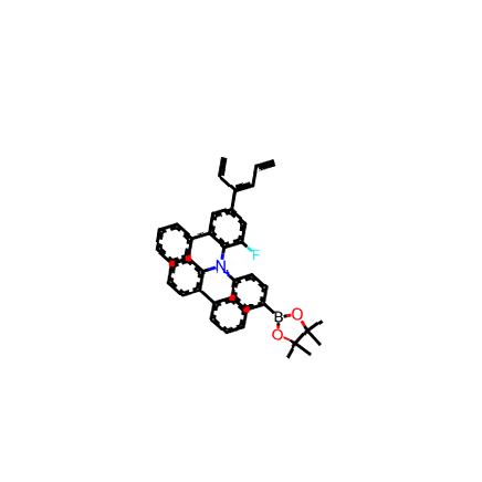 C=C/C=C(\C=C)c1cc(F)c(N(c2ccc(B3OC(C)(C)C(C)(C)O3)cc2)c2ccccc2-c2ccccc2)c(-c2ccccc2)c1